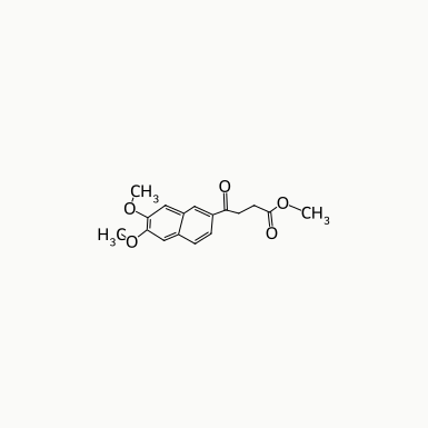 COC(=O)CCC(=O)c1ccc2cc(OC)c(OC)cc2c1